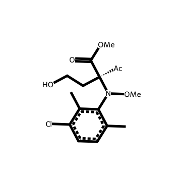 COC(=O)[C@@](CCO)(C(C)=O)N(OC)c1c(C)ccc(Cl)c1C